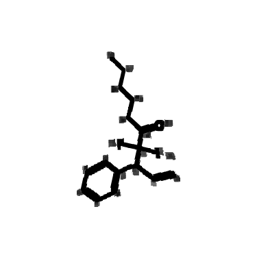 C=CC(c1ccccc1)C(F)(F)C(=O)CCCCC